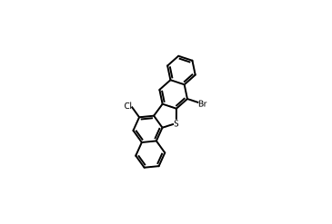 Clc1cc2ccccc2c2sc3c(Br)c4ccccc4cc3c12